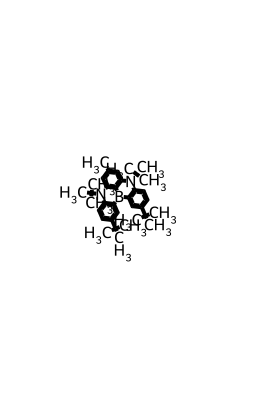 Cc1cc2c3c(c1)N(C(C)(C)C)c1ccc(C(C)(C)C)cc1B3c1cc(C(C)(C)C)ccc1N2C(C)(C)C